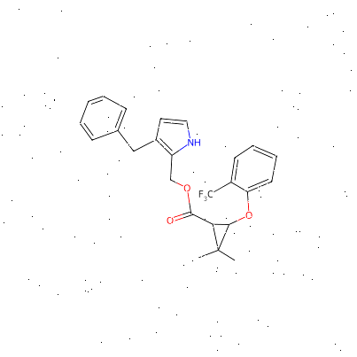 CC1(C)C(Oc2ccccc2C(F)(F)F)C1C(=O)OCc1[nH]ccc1Cc1ccccc1